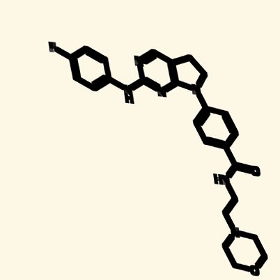 O=C(NCCN1CCOCC1)c1ccc(N2CCc3cnc(Nc4ccc(F)cc4)nc32)cc1